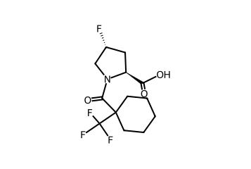 O=C(O)[C@@H]1C[C@@H](F)CN1C(=O)C1(C(F)(F)F)CCCCC1